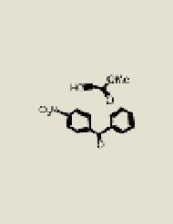 C#CC(=O)OC.O=C(c1ccccc1)c1ccc([N+](=O)[O-])cc1